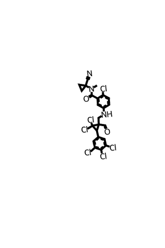 CN(C(=O)c1cc(NCC2(C=O)C(c3cc(Cl)c(Cl)c(Cl)c3)C2(Cl)Cl)ccc1Cl)C1(C#N)CC1